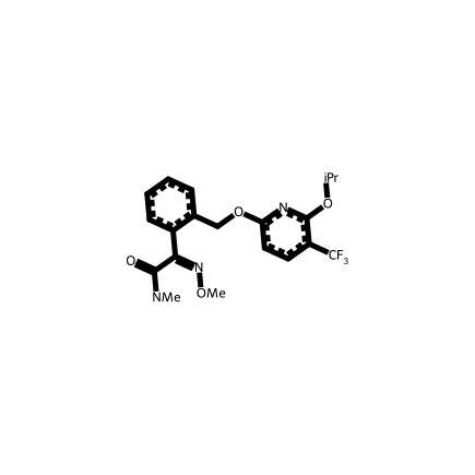 CNC(=O)C(=NOC)c1ccccc1COc1ccc(C(F)(F)F)c(OC(C)C)n1